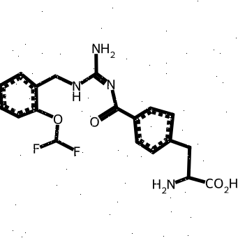 NC(=NC(=O)c1ccc(CC(N)C(=O)O)cc1)NCc1ccccc1OC(F)F